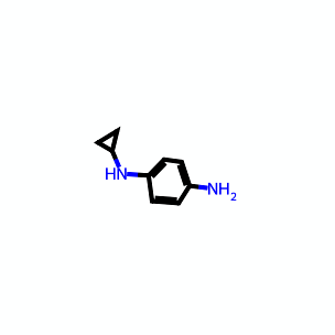 Nc1ccc(NC2CC2)cc1